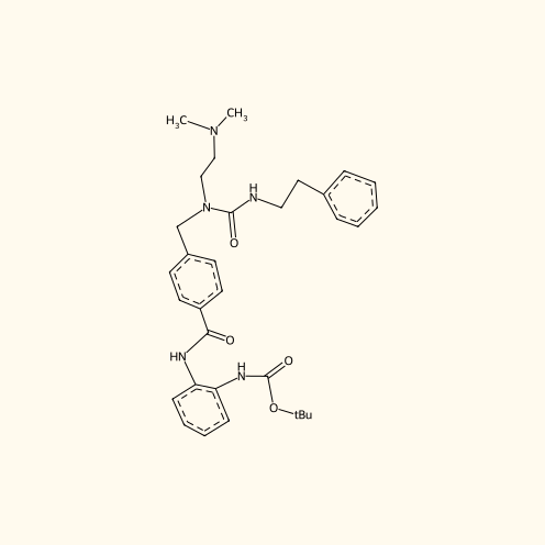 CN(C)CCN(Cc1ccc(C(=O)Nc2ccccc2NC(=O)OC(C)(C)C)cc1)C(=O)NCCc1ccccc1